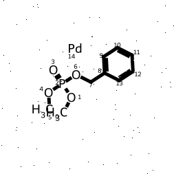 COP(=O)(OC)OCc1ccccc1.[Pd]